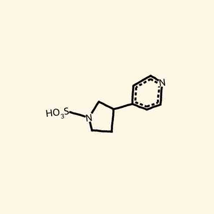 O=S(=O)(O)N1CCC(c2ccncc2)C1